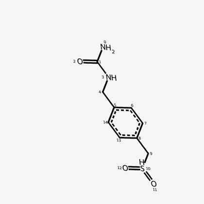 NC(=O)NCc1ccc(C[SH](=O)=O)cc1